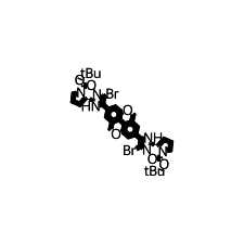 CC(C)(C)OC(=O)N1CCC[C@H]1c1nc(Br)c(-c2cc3c4c(c2)OCc2cc(-c5[nH]c([C@@H]6CCCN6C(=O)OC(C)(C)C)nc5Br)cc(c2-4)OC3)[nH]1